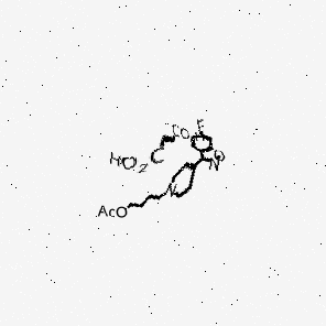 CC(=O)OCCCCN1CCC(c2noc3cc(F)ccc23)CC1.O=C(O)C=CC(=O)O